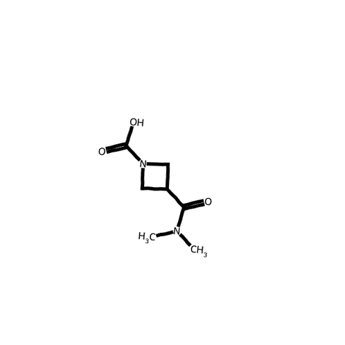 CN(C)C(=O)C1CN(C(=O)O)C1